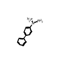 PN(P)c1ccc(-c2ccccc2)cc1